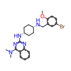 COc1ccc(Br)cc1CN[C@H]1CC[C@@H](Nc2nc(N(C)C)c3ccccc3n2)CC1